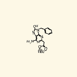 CCCCOC(=O)Cc1nc(N)c2nc(O)n(Cc3ccccc3)c2n1